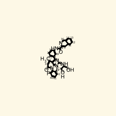 Cc1ccc(NC(=O)c2cc3ccccc3cn2)cc1-c1nc(NC(CO)CO)nc2c1ccc(=O)n2-c1c(F)cccc1F